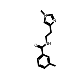 Cc1cccc(C(=O)NCCc2cn(C)cn2)c1